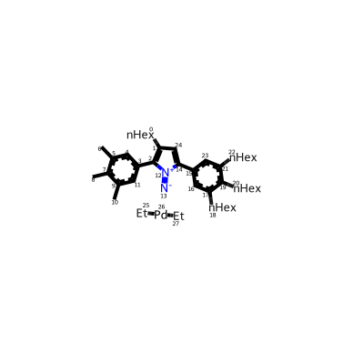 CCCCCCC1=C(c2cc(C)c(C)c(C)c2)[N+](=[N-])C(c2cc(CCCCCC)c(CCCCCC)c(CCCCCC)c2)=C1.C[CH2][Pd][CH2]C